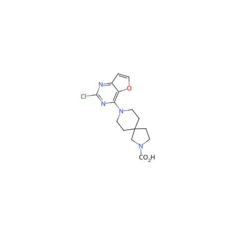 O=C(O)N1CCC2(CCN(c3nc(Cl)nc4ccoc34)CC2)C1